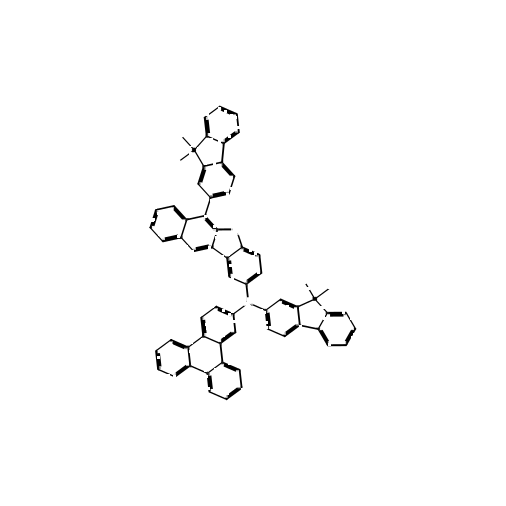 CC1(C)c2ccccc2-c2ccc(-c3c4ccccc4cc4c3oc3ccc(N(c5ccc6c(c5)C(C)(C)c5ccccc5-6)c5ccc6c7ccccc7c7ccccc7c6c5)cc34)cc21